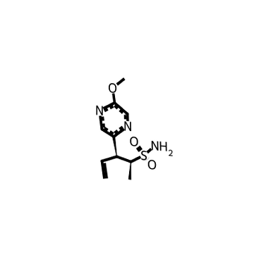 C=C[C@@H](c1cnc(OC)cn1)[C@H](C)S(N)(=O)=O